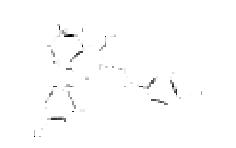 O=C(NCCc1ccc(Cl)cc1)c1cc(Cl)nnc1Sc1ccc(Cl)cc1